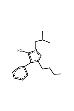 CCCCc1nn(CC(C)C)c(O)c1-c1ccccc1